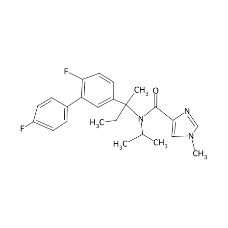 CCC(C)(c1ccc(F)c(-c2ccc(F)cc2)c1)N(C(=O)c1cn(C)cn1)C(C)C